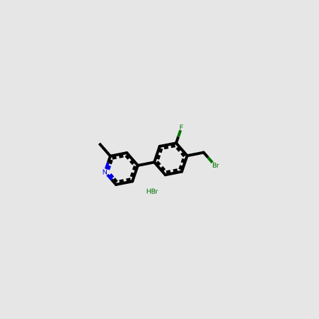 Br.Cc1cc(-c2ccc(CBr)c(F)c2)ccn1